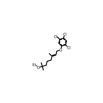 CCOC(C)(C)CCC/C(C)=C/COc1cc(Cl)c(Cl)cc1Cl